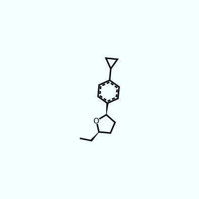 CC[C@@H]1CC[C@H](c2ccc(C3CC3)cc2)O1